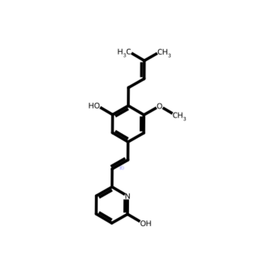 COc1cc(/C=C/c2cccc(O)n2)cc(O)c1CC=C(C)C